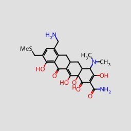 CSCc1cc(CN)c2c(c1O)C(=O)C1=C(O)C3(O)C(=O)C(C(N)=O)=C(O)C(N(C)C)C3CC1C2